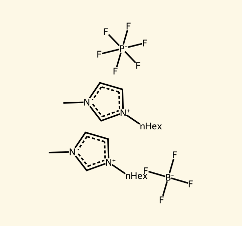 CCCCCC[n+]1ccn(C)c1.CCCCCC[n+]1ccn(C)c1.F[B-](F)(F)F.F[P-](F)(F)(F)(F)F